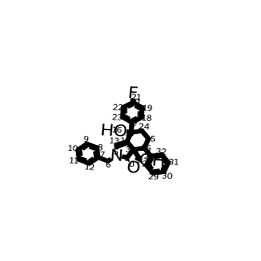 O=C(O)C12CN(Cc3ccccc3)C=C1C(O)(c1ccc(F)cc1)CCC2c1ccccc1